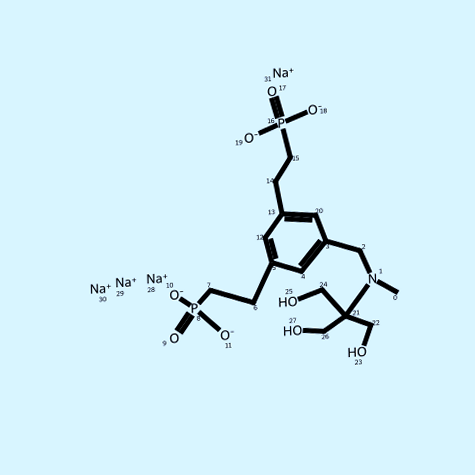 CN(Cc1cc(CCP(=O)([O-])[O-])cc(CCP(=O)([O-])[O-])c1)C(CO)(CO)CO.[Na+].[Na+].[Na+].[Na+]